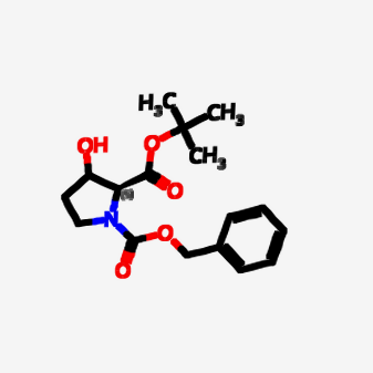 CC(C)(C)OC(=O)[C@@H]1C(O)CCN1C(=O)OCc1ccccc1